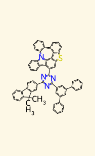 CC1(C)c2ccccc2-c2ccc(-c3nc(-c4cc(-c5ccccc5)cc(-c5ccccc5)c4)nc(-c4cc5sc6cccc7c8ccccc8n8c9ccccc9c4c8c5c67)n3)cc21